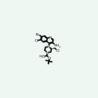 CC(C)(C)OC(O)N1CCN(c2c(N)cnc3cc(Br)c(Cl)cc23)[C@@H](CCl)C1